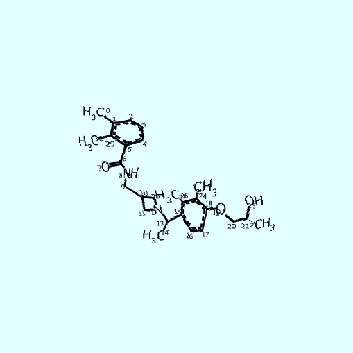 Cc1cccc(C(=O)NCC2CN(C(C)c3ccc(OC[C@@H](C)O)c(C)c3C)C2)c1C